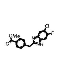 COC(=O)c1ccc(Cc2nc3cc(Cl)c(F)cc3[nH]2)cc1